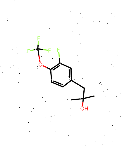 CC(C)(O)Cc1ccc(OC(F)(F)F)c(F)c1